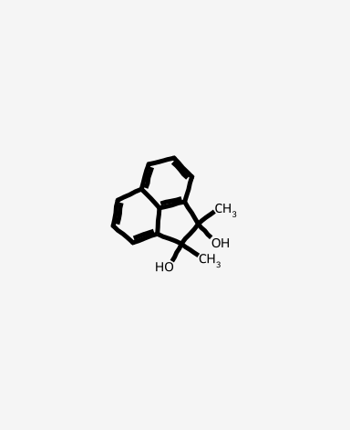 CC1(O)c2cccc3cccc(c23)C1(C)O